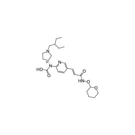 CCC(CC)CN1CC[C@@H](N(C(=O)O)c2ccc(C=CC(=O)NOC3CCCCO3)cn2)C1